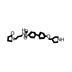 O=C1CCCN1CCCNS(=O)(=O)c1ccc(-c2ccc(OCC3CCNCC3)cc2)cc1